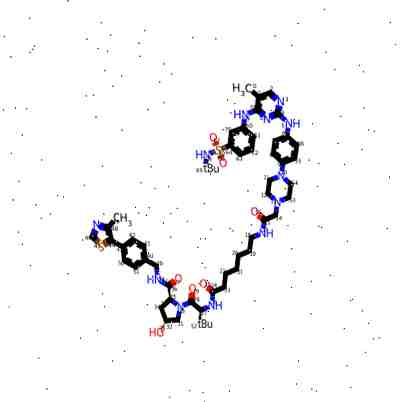 Cc1cnc(Nc2ccc(N3CCN(CC(=O)NCCCCCCC(=O)N[C@H](C(=O)N4C[C@H](O)C[C@H]4C(=O)NCc4ccc(-c5scnc5C)cc4)C(C)(C)C)CC3)cc2)nc1Nc1cccc(S(=O)(=O)NC(C)(C)C)c1